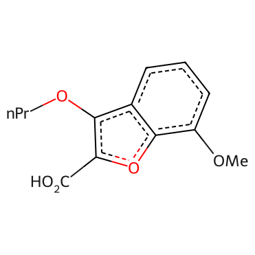 CCCOc1c(C(=O)O)oc2c(OC)cccc12